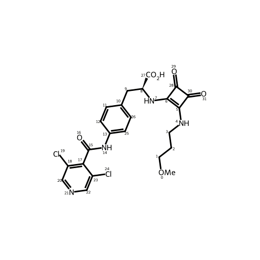 COCCCNc1c(N[C@@H](Cc2ccc(NC(=O)c3c(Cl)cncc3Cl)cc2)C(=O)O)c(=O)c1=O